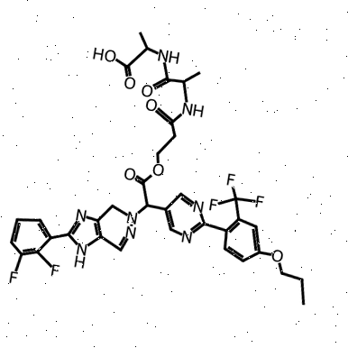 CCCOc1ccc(-c2ncc(C(C(=O)OCCC(=O)NC(C)C(=O)NC(C)C(=O)O)N3Cc4nc(-c5cccc(F)c5F)[nH]c4C=N3)cn2)c(C(F)(F)F)c1